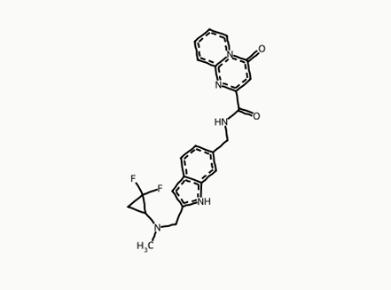 CN(Cc1cc2ccc(CNC(=O)c3cc(=O)n4ccccc4n3)cc2[nH]1)C1CC1(F)F